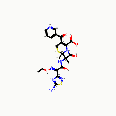 CCON=C(C(=O)NC1(C)C(=O)N2C(C(=O)O)=C(C(=O)c3cccnc3)CS[C@H]21)c1nsc(N)n1